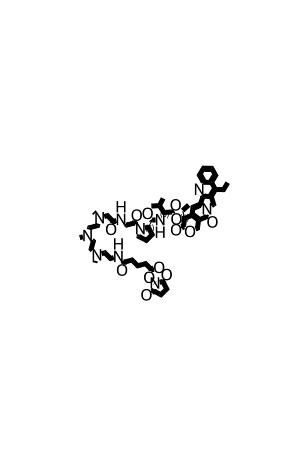 CCc1c2c(nc3ccccc13)-c1cc3c(c(=O)n1C2)COC(=O)[C@@]3(CC)OC(=O)[C@@H](NC(=O)[C@@H]1CCCN1C(=O)CNC(=O)CN(C)CCN(C)CCN(C)CCNC(=O)CCCC(=O)ON1C(=O)CCC1=O)C(C)C